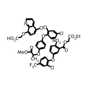 CCOC(=O)COC(=O)c1cc(Oc2ccc(C(F)(F)F)cc2Cl)ccc1[N+](=O)[O-].COC(=O)C(C)Oc1ccc(Oc2ccc(Cl)cc2Cl)cc1.O=C(O)COc1ccc(Cl)c2cccnc12